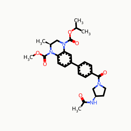 COC(=O)N1c2ccc(-c3ccc(C(=O)N4CC[C@@H](NC(C)=O)C4)cc3)cc2N(C(=O)OC(C)C)C[C@@H]1C